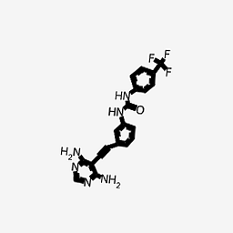 Nc1ncnc(N)c1C#Cc1cccc(NC(=O)Nc2ccc(C(F)(F)F)cc2)c1